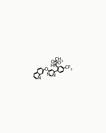 CS(=O)(=O)Nc1cc(C(F)(F)F)ccc1-c1cc(Oc2ccc3cccnc3c2)ncn1